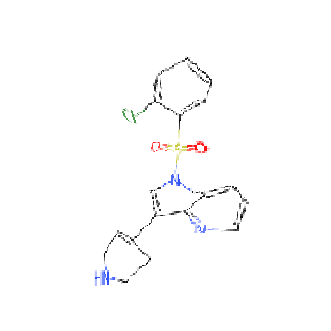 O=S(=O)(c1ccccc1Cl)n1cc(C2=CCNCC2)c2ncccc21